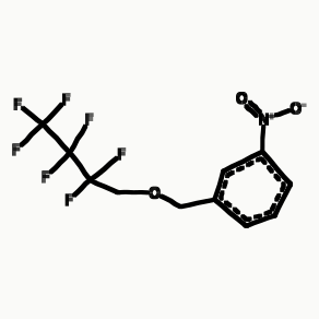 O=[N+]([O-])c1cccc(COCC(F)(F)C(F)(F)C(F)(F)F)c1